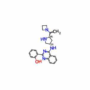 C=C([C@H]1C[C@H](Nc2nc(-c3ccccc3O)nc3ccccc23)CN1)N1CCC1